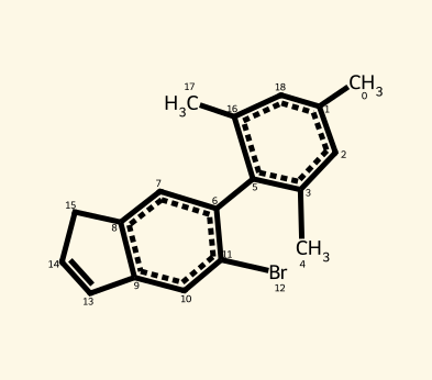 Cc1cc(C)c(-c2cc3c(cc2Br)C=CC3)c(C)c1